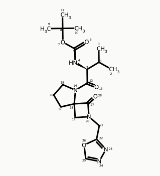 CC(C)[C@H](NC(=O)OC(C)(C)C)C(=O)N1CCCC12CN(Cc1nnco1)C2=O